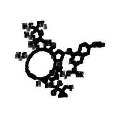 CCN(C)c1cc2cc(OC)ccc2c(O[C@@H]2C[C@H]3C(=O)N[C@]4(C(=O)NS(=O)(=O)C5(CF)CC5)C[C@H]4/C=C\CC[C@H](C)C[C@@H](C)[C@H](NC(=O)OC(C)(C)C(F)(F)F)C(=O)N3C2)n1